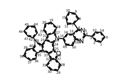 c1ccc(-c2nc(-c3ccccc3)c3cc(-n4c5ccccc5c5c4c4oc6ccccc6c4c4c6ccccc6n(-c6ccccc6)c45)ccc3n2)cc1